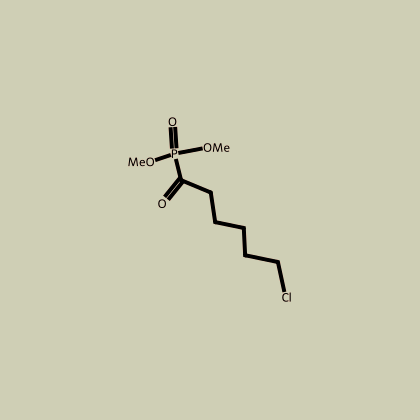 COP(=O)(OC)C(=O)CCCCCCl